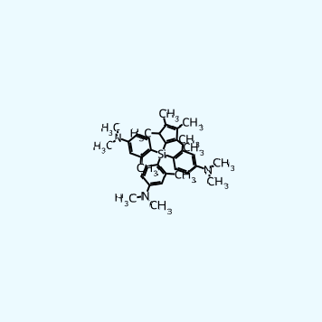 CC1=C(C)C(C)C([Si](c2ccc(N(C)C)cc2C)(c2ccc(N(C)C)cc2C)c2ccc(N(C)C)cc2C)=C1C